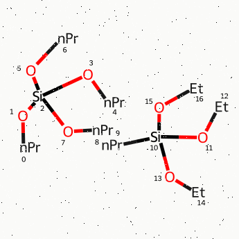 CCCO[Si](OCCC)(OCCC)OCCC.CCC[Si](OCC)(OCC)OCC